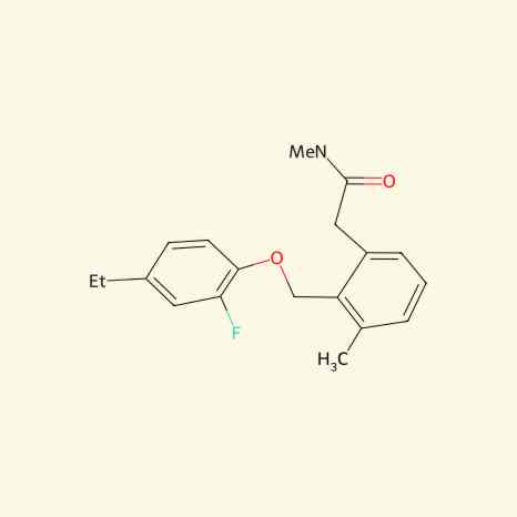 CCc1ccc(OCc2c(C)cccc2CC(=O)NC)c(F)c1